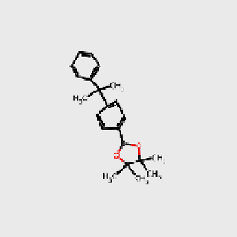 CC(C)(c1ccccc1)c1ccc(B2OC(C)(C)C(C)(C)O2)cc1